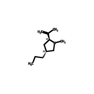 C=C(C)[C@@H]1C[C@@H](CCC)CN1C